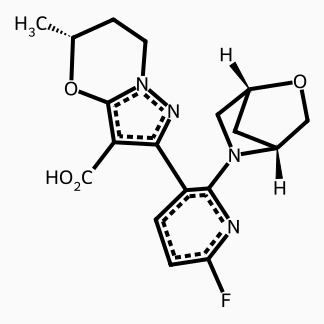 C[C@@H]1CCn2nc(-c3ccc(F)nc3N3C[C@H]4C[C@@H]3CO4)c(C(=O)O)c2O1